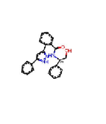 O=C(N[C@@H](CO)c1ccccc1)c1ccccc1-c1cc(-c2ccccc2)[nH]n1